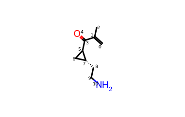 C=C(C)C(=O)C1C[C@H]1CCN